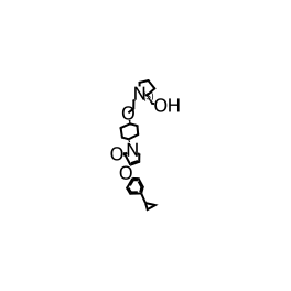 O=C1C(Oc2ccc(C3CC3)cc2)=CCN1[C@H]1CC[C@H](OCCN2CCC[C@H]2CO)CC1